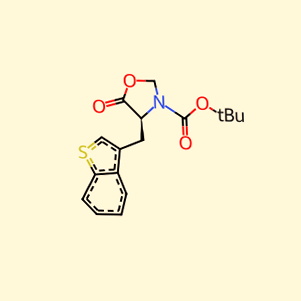 CC(C)(C)OC(=O)N1COC(=O)[C@@H]1Cc1csc2ccccc12